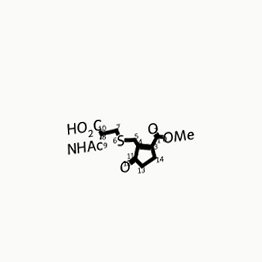 COC(=O)C1=C(CSC[C@H](NC(C)=O)C(=O)O)C(=O)CC1